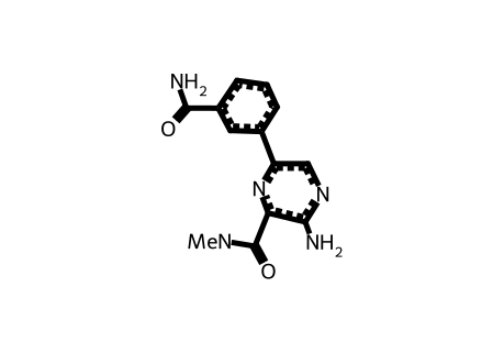 CNC(=O)c1nc(-c2cccc(C(N)=O)c2)cnc1N